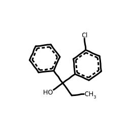 CCC(O)(c1ccccc1)c1cccc(Cl)c1